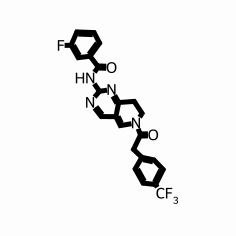 O=C(NC1N=CC2=CN(C(=O)Cc3ccc(C(F)(F)F)cc3)CCC2=N1)c1cccc(F)c1